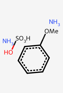 COc1ccccc1.N.N.O=S(=O)(O)O